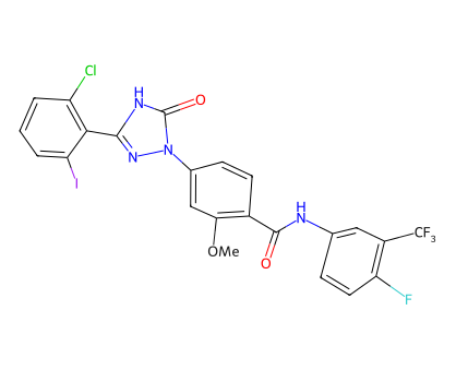 COc1cc(-n2nc(-c3c(Cl)cccc3I)[nH]c2=O)ccc1C(=O)Nc1ccc(F)c(C(F)(F)F)c1